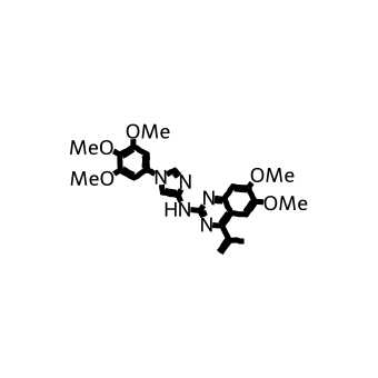 C=C(C)c1nc(Nc2cn(-c3cc(OC)c(OC)c(OC)c3)cn2)nc2cc(OC)c(OC)cc12